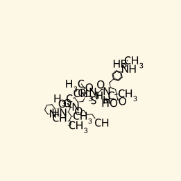 C#CCCCON(C(=O)[C@@H](NC(=O)[C@H]1CCCCN1C)[C@@H](C)CC)[C@H](C[C@@H](OC(C)=O)c1nc(C(=O)N[C@@H](Cc2ccc(NBC)cc2)CC(C)(C)C(=O)O)cs1)C(C)C